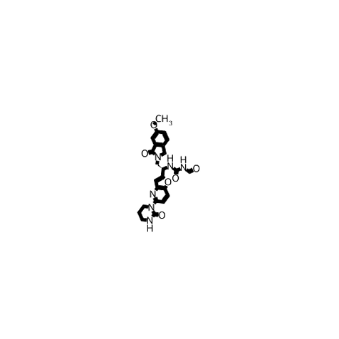 COc1ccc2c(c1)C(=O)N(C[C@H](NC(=O)NC=O)c1cc3nc(N4CCCNC4=O)ccc3o1)C2